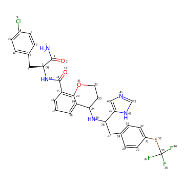 NC(=O)[C@H](Cc1ccc(Cl)cc1)NC(=O)c1cccc2c1OCCC2NC(Cc1ccc(SC(F)(F)F)cc1)c1cnc[nH]1